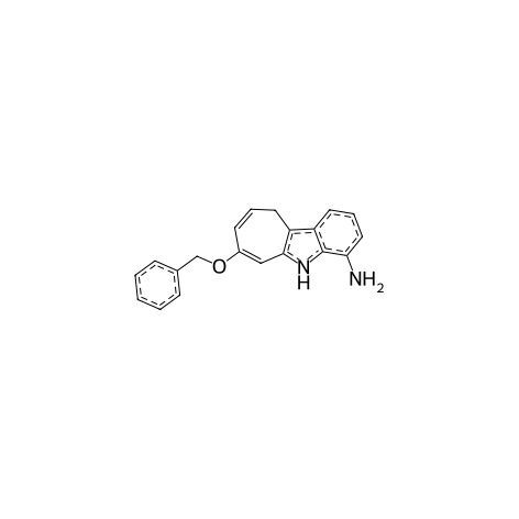 Nc1cccc2c3c([nH]c12)C=C(OCc1ccccc1)C=CC3